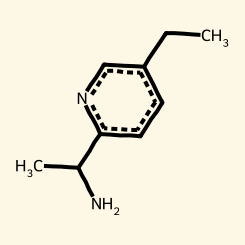 CCc1ccc(C(C)N)nc1